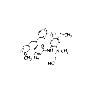 C=CC(=O)Nc1cc(Nc2nccc(-c3ccc4c(cnn4C)c3)n2)c(OC)cc1N(C)CCO